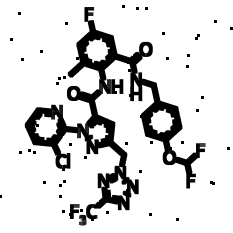 Cc1cc(F)cc(C(=O)NCc2ccc(OC(F)F)cc2)c1NC(=O)c1cc(Cn2nnc(C(F)(F)F)n2)nn1-c1ncccc1Cl